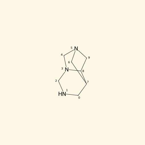 C1NCN2CN3CC1C2C3